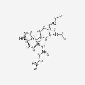 CCOCC1(COCC)CCC(c2c(CN(C)CCNC)ccc3[nH]ncc23)CC1